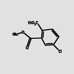 CCOC(=O)c1ccc(Cl)cc1C(=O)OC(C)(C)C